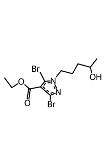 CCOC(=O)c1c(Br)nn(CCCC(C)O)c1Br